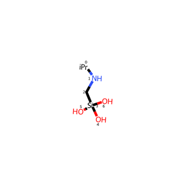 CC(C)NC[Si](O)(O)O